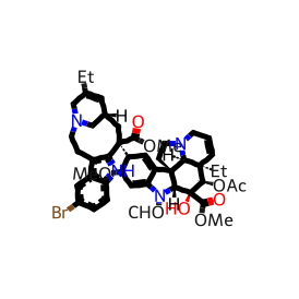 CCC1=C[C@H]2CN(CCc3c([nH]c4ccc(Br)cc34)[C@@](C(=O)OC)(C3C=C4C(=CC3OC)N(C=O)[C@H]3[C@@](O)(C(=O)OC)[C@H](OC(C)=O)[C@]5(CC)C=CCN6CC[C@]43[C@@H]65)C2)C1